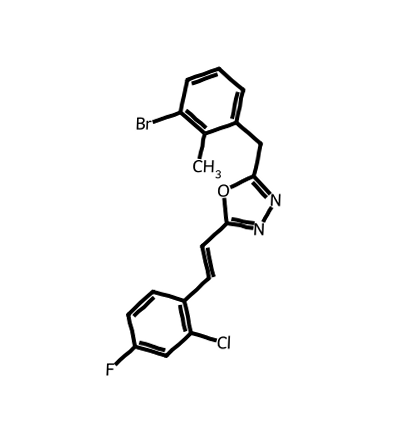 Cc1c(Br)cccc1Cc1nnc(/C=C/c2ccc(F)cc2Cl)o1